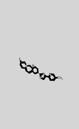 Cc1ccc(-c2csc([C@H]3CC[C@@H]4CN5C=C(F)C=CC5=CC=C4C3)n2)nc1